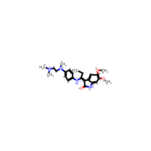 CC/C(Nc1ccc(N(C)CCN(C)C)cc1)=C1/C(=O)Nc2cc(OC)c(OC)cc21